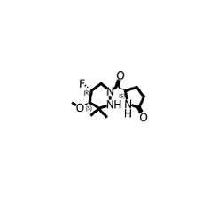 CO[C@@H]1[C@H](F)CN(C(=O)[C@@H]2CCC(=O)N2)NC1(C)C